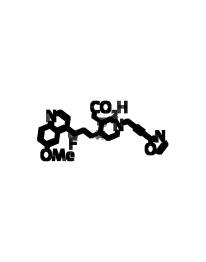 COc1ccc2nccc([C@@H](F)CC[C@@H]3CCN(CC#Cc4ncco4)C[C@@H]3CC(=O)O)c2c1